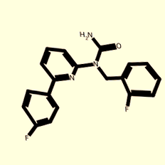 NC(=O)N(Cc1ccccc1F)c1cccc(-c2ccc(F)cc2)n1